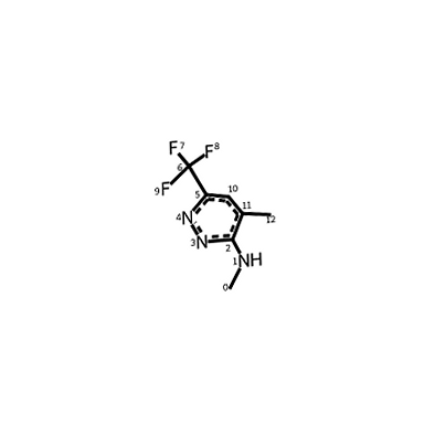 CNc1nnc(C(F)(F)F)cc1C